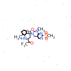 [2H]C1(N2Cc3cnc(S(C)(=O)=O)nc3N(C)C2=O)CC(C(=O)C(F)(F)F)Nc2c(C)cccc21